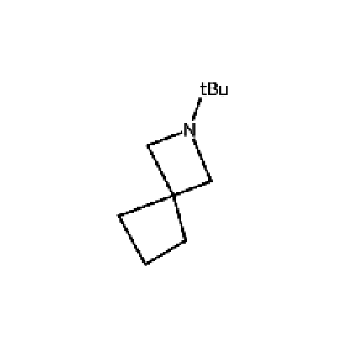 CC(C)(C)N1CC2(CCC2)C1